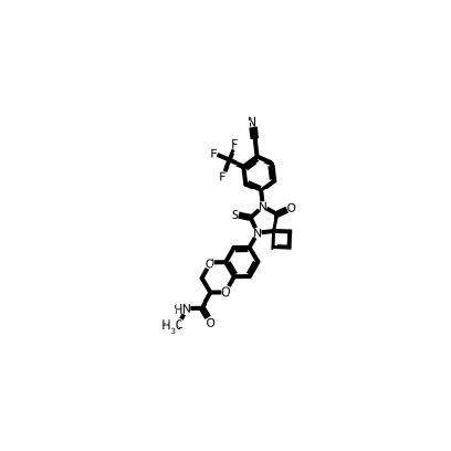 CNC(=O)C1COc2cc(N3C(=S)N(c4ccc(C#N)c(C(F)(F)F)c4)C(=O)C34CCC4)ccc2O1